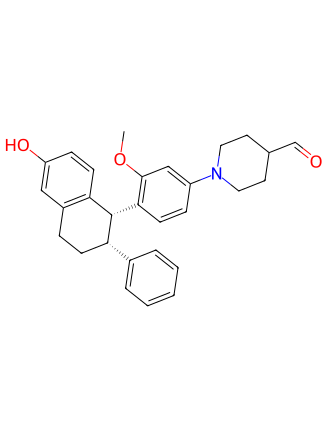 COc1cc(N2CCC(C=O)CC2)ccc1[C@H]1c2ccc(O)cc2CC[C@H]1c1ccccc1